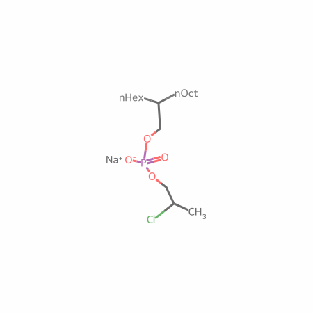 CCCCCCCCC(CCCCCC)COP(=O)([O-])OCC(C)Cl.[Na+]